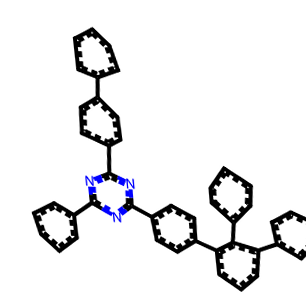 c1ccc(-c2ccc(-c3nc(-c4ccccc4)nc(-c4ccc(-c5cccc(-c6ccccc6)c5-c5ccccc5)cc4)n3)cc2)cc1